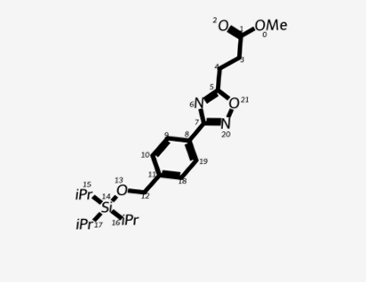 COC(=O)CCc1nc(-c2ccc(CO[Si](C(C)C)(C(C)C)C(C)C)cc2)no1